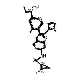 CC[C@H](O)c1cc(C)c(-c2cc3cnc(NC(=O)[C@H]4C[C@H]4F)cc3nc2-c2nccn2C)cn1